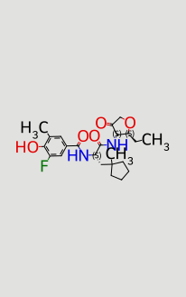 CC[C@@H]1OCC(=O)[C@H]1NC(=O)[C@H](CC1(C)CCCC1)NC(=O)c1cc(C)c(O)c(F)c1